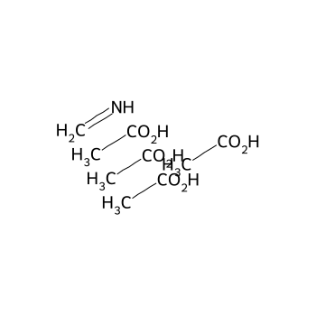 C=N.CC(=O)O.CC(=O)O.CC(=O)O.CC(=O)O